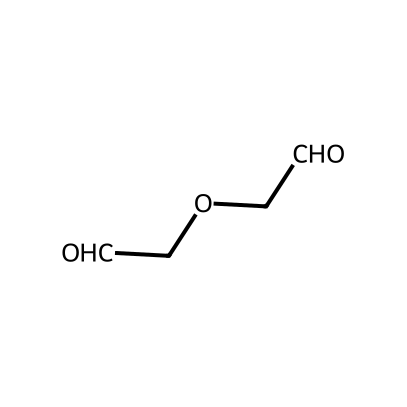 O=CCOCC=O